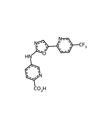 O=C(O)c1ccc(Nc2ncc(-c3ccc(C(F)(F)F)cn3)o2)cn1